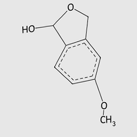 COc1ccc2c(c1)COC2O